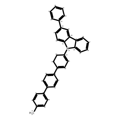 Cc1ccc(-c2ccc(C3=CC=C(n4c5ccccc5c5cc(-c6ccccc6)ccc54)CC3)cc2)cc1